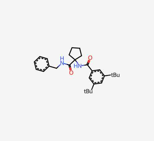 CC(C)(C)c1cc(C(=O)NC2(C(=O)NCc3ccccc3)CCCC2)cc(C(C)(C)C)c1